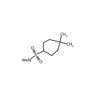 CNS(=O)(=O)C1CCC(C)(C)CC1